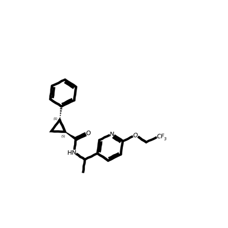 CC(NC(=O)[C@H]1C[C@@H]1c1ccccc1)c1ccc(OCC(F)(F)F)nc1